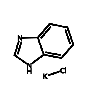 [Cl][K].c1ccc2[nH]cnc2c1